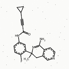 CC1(c2cc(NC(=O)C#CC3CC3)ccc2F)Cc2cnccc2C(N)=N1